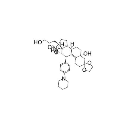 C[C@]12C[C@H](c3ccc(N4CCCCC4)cc3)C3=C4CCC5(C[C@]4(O)CC[C@H]3[C@@H]1CC[C@@]2(CCCO)[N+](=O)[O-])OCCO5